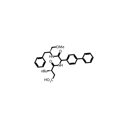 CCCC[C@H](CC(=O)O)C(=O)NC(C(=O)N[C@H](COC)Cc1ccccc1)c1ccc(-c2ccccc2)cc1